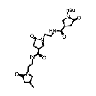 CCCCN1CC(C(=O)NCCN2CC(C(=O)NCCN3CC(C)CC3=O)CC2=O)CC1=O